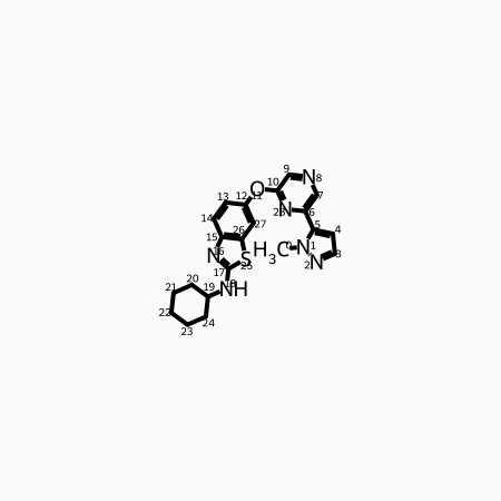 Cn1nccc1-c1cncc(Oc2ccc3nc(NC4CCCCC4)sc3c2)n1